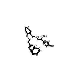 O[C@H](CNCc1ccccc1OCCc1nc2ccccc2[nH]1)c1cc(Br)cs1